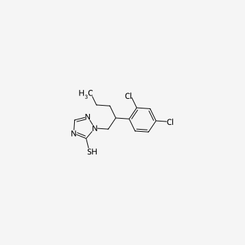 CCCC(Cn1ncnc1S)c1ccc(Cl)cc1Cl